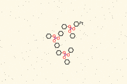 [Pt].c1ccc(OP(Oc2ccccc2)Oc2ccccc2)cc1.c1ccc(OP(Oc2ccccc2)Oc2ccccc2)cc1.c1ccc(OP(Oc2ccccc2)Oc2ccccc2)cc1